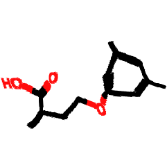 C=C(CCOc1cc(C)cc(C)c1)C(=O)O